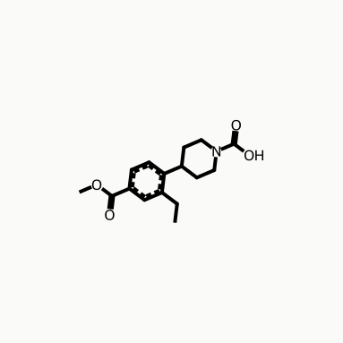 CCc1cc(C(=O)OC)ccc1C1CCN(C(=O)O)CC1